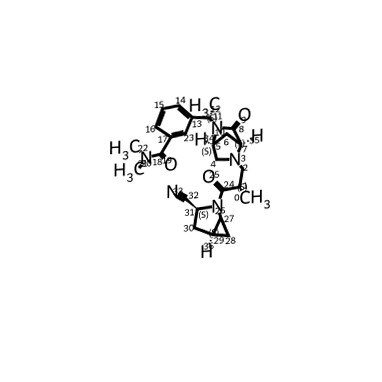 C[C@@H](CN1C[C@@H]2C[C@H]1C(=O)N2[C@@H](C)c1cccc(C(=O)N(C)C)c1)C(=O)N1C2C[C@H]2C[C@H]1C#N